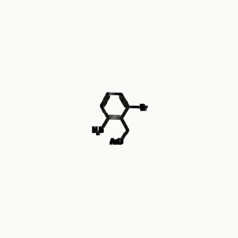 Bc1cccc(Br)c1COC(C)=O